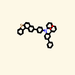 c1ccc(-c2ccc(N(c3ccccc3)c3ccc(-c4ccc5c(ccc6sc7ccccc7c65)c4)cc3)c(-c3ccccc3)c2)cc1